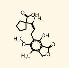 COc1c(C)c2c(c(O)c1C/C=C(/C)C1(C(=O)O)CCCC1)C(=O)OC2